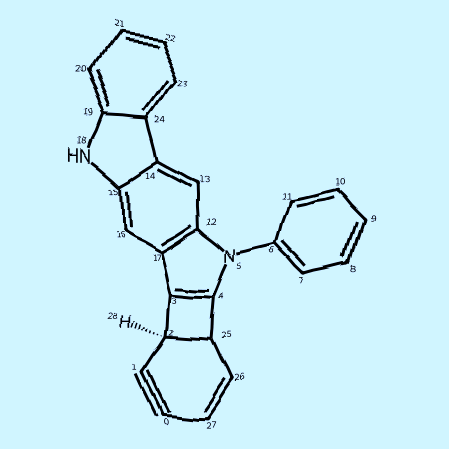 C1#C[C@H]2c3c(n(-c4ccccc4)c4cc5c(cc34)[nH]c3ccccc35)C2C=C1